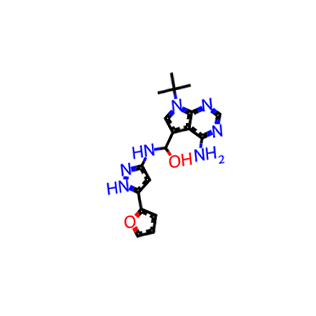 CC(C)(C)n1cc(C(O)Nc2cc(-c3ccco3)[nH]n2)c2c(N)ncnc21